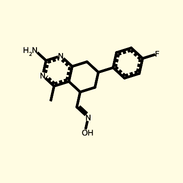 Cc1nc(N)nc2c1C(C=NO)CC(c1ccc(F)cc1)C2